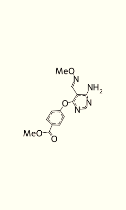 CO/N=C/c1c(N)ncnc1Oc1ccc(C(=O)OC)cc1